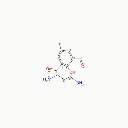 Cc1cc(C=O)c(O)c(C=O)c1.NCCCN